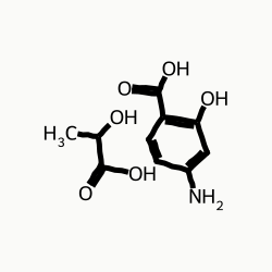 CC(O)C(=O)O.Nc1ccc(C(=O)O)c(O)c1